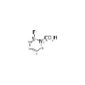 O=C(O)N1CC=CC=C1F